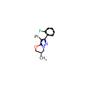 CC(C)c1c(-c2ccccc2F)nn2c1OC[C@H](C)C2